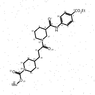 CCOC(=O)c1ccc(NC(=O)C2CCCN(C(=O)CCC3CCN(C(=O)OC(C)(C)C)CC3)C2)cc1